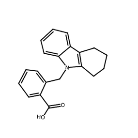 O=C(O)c1ccccc1Cn1c2c(c3ccccc31)CCCC2